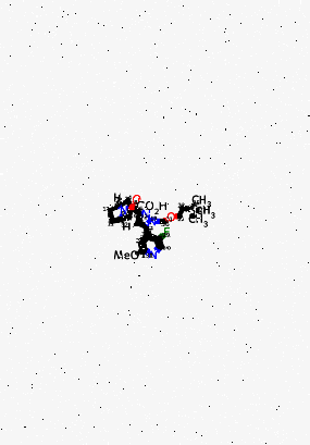 COc1cc(-c2cc(C(=O)N3[C@@H]4CC[C@H]3C[C@H](C(=O)O)C4)nn2COCC[Si](C)(C)C)c(F)cn1